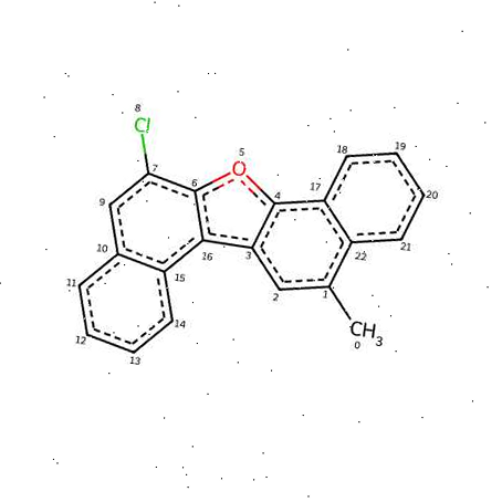 Cc1cc2c(oc3c(Cl)cc4ccccc4c32)c2ccccc12